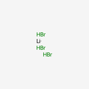 Br.Br.Br.[Li]